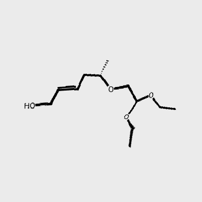 CCOC(CO[C@@H](C)C/C=C/CO)OCC